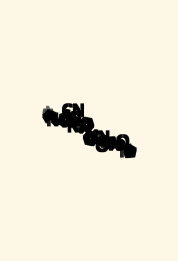 Cc1c(-c2nc3c(o2)CN(C(=O)CN2CCCC2)C3)cccc1-c1cccc(-c2nc3cc(CN4CC[C@H](C)C4)cc(C#N)c3o2)c1C